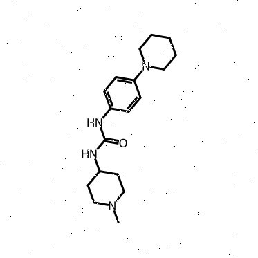 CN1CCC(NC(=O)Nc2ccc(N3CCCCC3)cc2)CC1